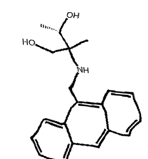 C[C@H](O)C(C)(CO)NCc1c2ccccc2cc2ccccc12